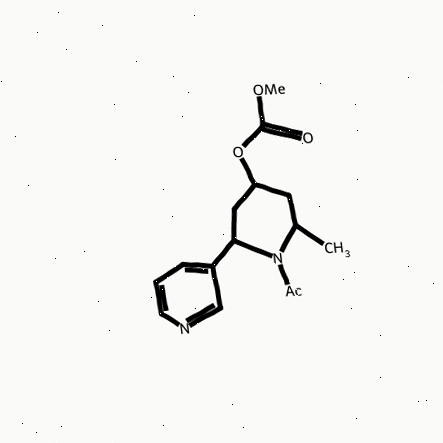 COC(=O)OC1CC(C)N(C(C)=O)C(c2cccnc2)C1